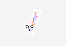 CC(=O)OCO/N=[N+](\[O-])N1CC(C(=O)NS(=O)(=O)c2ccc(-n3nc(C(F)(F)F)cc3-c3ccc(C)cc3)cc2)C1